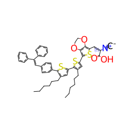 [C-]#[N+]/C(=C/c1sc(-c2cc(CCCCCC)c(-c3cc(CCCCCC)c(-c4ccc(C=C(c5ccccc5)c5ccccc5)cc4)s3)s2)c2c1OCCO2)C(=O)O